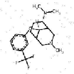 CN1CC2CC[C@H](N(C)C)C(C1)[C@@H]2Oc1cccc(C(F)(F)F)c1